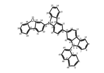 c1ccc2c(-n3c4ccccc4c4ccc(-c5ccc6c(c5)c5ccccc5n6-c5ccc6c(c5)oc5ccccc56)cc43)cccc2c1